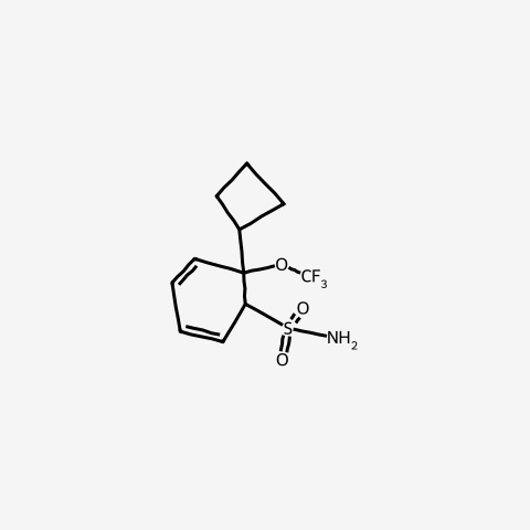 NS(=O)(=O)C1C=CC=CC1(OC(F)(F)F)C1CCC1